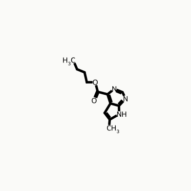 CCCCOC(=O)c1ncnc2[nH]c(C)cc12